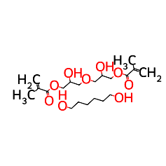 C=C(C)C(=O)OCC(O)COCC(O)COC(=O)C(=C)C.OCCCCCCO